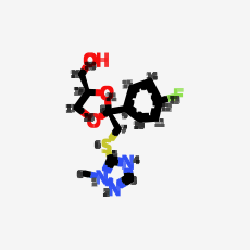 Cn1ncnc1SC[C@@]1(c2ccc(F)cc2)OC[C@@H](CO)O1